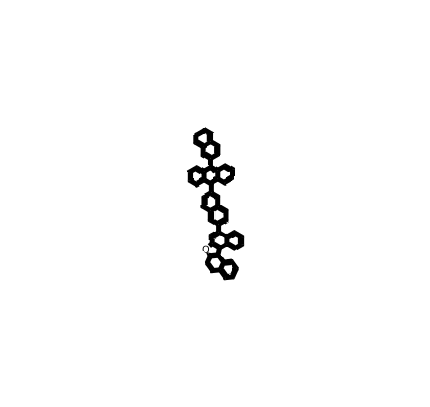 c1ccc2cc(-c3c4ccccc4c(-c4ccc5cc(-c6cc7oc8ccc9ccccc9c8c7c7ccccc67)ccc5c4)c4ccccc34)ccc2c1